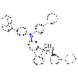 CC1(C)c2cc(N(c3ccc(C4CCCCC4)cc3)c3ccc(C4C5CC6CC(C5)CC4C6)cc3)ccc2-c2cccc(-c3ccc(C4CCCCC4)cc3)c21